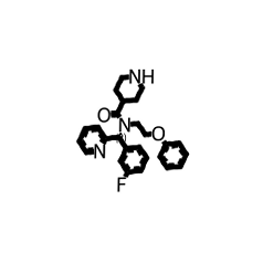 O=C(C1CCNCC1)N(CCOc1ccccc1)[C@H](c1cccc(F)c1)c1ccccn1